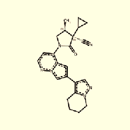 C[C@@H]1CN(c2ccnn3cc(-c4cnn5c4CCCC5)cc23)C(=O)[C@]1(C#N)C1CC1